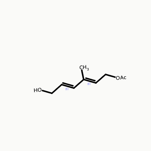 CC(=O)OC/C=C(C)/C=C/CO